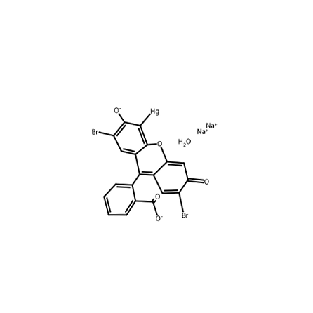 O.O=C([O-])c1ccccc1-c1c2cc(Br)c(=O)cc-2oc2[c]([Hg])c([O-])c(Br)cc12.[Na+].[Na+]